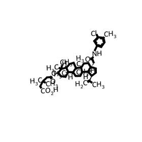 C=C(C)[C@@H]1CC[C@]2(CC(=O)NCc3ccc(C)c(Cl)c3)CC[C@]3(C)[C@H](CC[C@@H]4[C@@]5(C)CC[C@H](OC(=O)CC(C)(C)CC(=O)O)C(C)(C)[C@@H]5CC[C@]43C)[C@@H]12